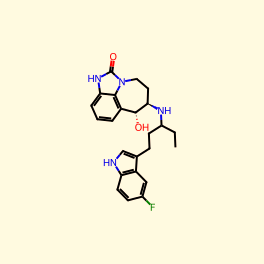 CCC(CCc1c[nH]c2ccc(F)cc12)N[C@@H]1CCn2c(=O)[nH]c3cccc(c32)[C@H]1O